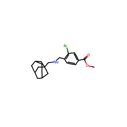 COC(=O)c1ccc(CNCC23CC4CC(CC(C4)C2)C3)c(Br)c1